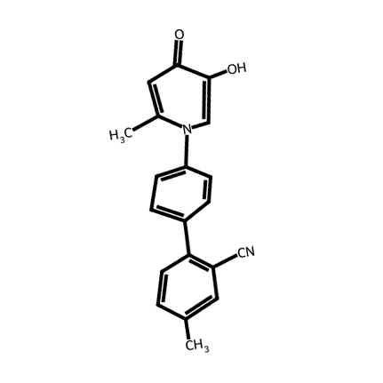 Cc1ccc(-c2ccc(-n3cc(O)c(=O)cc3C)cc2)c(C#N)c1